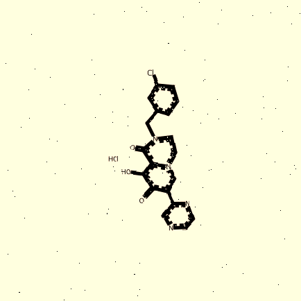 Cl.O=c1c(-c2cnccn2)cn2ccn(Cc3cccc(Cl)c3)c(=O)c2c1O